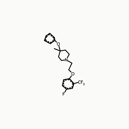 CC1(Oc2ccccc2)CCN(CCOc2ccc(F)cc2C(F)(F)F)CC1